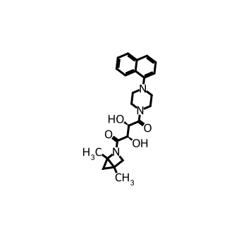 CC12CN(C(=O)[C@H](O)[C@@H](O)C(=O)N3CCN(c4cccc5ccccc45)CC3)C1(C)C2